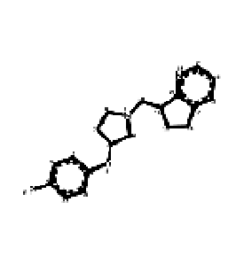 Fc1ccc(O[C@H]2CCN(CC3CCc4cccnc43)C2)cc1